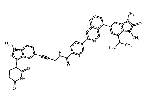 CC(C)c1cc(-c2cccc3cc(-c4ccc(C(=O)NCC#Cc5ccc6c(c5)c(C5CCC(=O)NC5=O)nn6C)nc4)ncc23)cc2c1n(C)c(=O)n2C